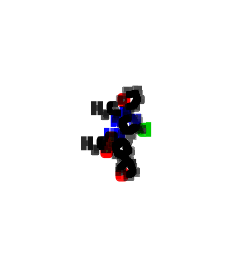 Cc1nc2c(Nc3ccc(C4CCCOC4)cc3S(C)(=O)=O)cc(Cl)nc2n1C1CCCCO1